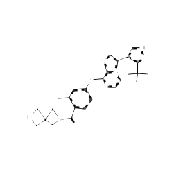 O=C(c1ccc(Nc2nccn3c(-c4c[nH]nc4C(F)(F)F)cnc23)cc1Cl)N1CC2(CNC2)C1